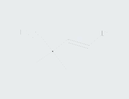 CC(C)(/C=C/Br)C(=O)O